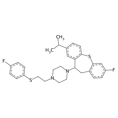 CC(C)c1ccc2c(c1)C(N1CCN(CCSc3ccc(F)cc3)CC1)Cc1ccc(F)cc1S2